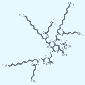 CCCCCCCCCCC[C@H](CC(=O)NC1C(OC(=O)C[C@@H](CCCCCCCCCCC)OC(=O)CCCCC)[C@H](OP(=O)(O)O)C(CO)O[C@H]1OC[C@H](NC(=O)C[C@@H](CCCCCCCCCCC)OC(=O)CCCCC)C(=O)O)OC(=O)CCCC